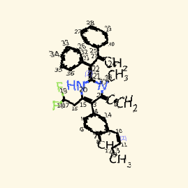 C=C=C1C(c2ccc(C)c(/C=C\CC)c2)=C(CC(F)F)N/C(=C(/C(=C)c2ccccc2)c2ccccc2)N1C